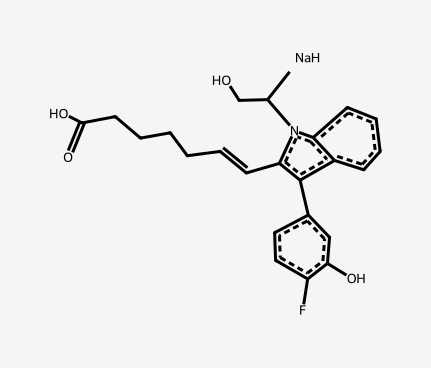 CC(CO)n1c(C=CCCCCC(=O)O)c(-c2ccc(F)c(O)c2)c2ccccc21.[NaH]